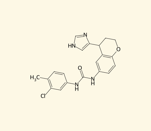 Cc1ccc(NC(=O)Nc2ccc3c(c2)C(c2c[nH]cn2)CCO3)cc1Cl